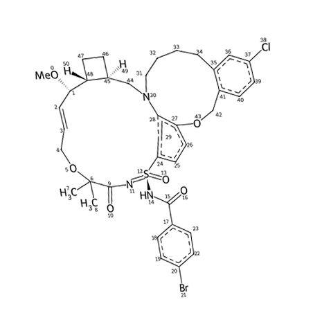 CO[C@H]1/C=C/COC(C)(C)C(=O)N=[S@](=O)(NC(=O)c2ccc(Br)cc2)c2ccc3c(c2)N(CCCCc2cc(Cl)ccc2CO3)C[C@@H]2CC[C@H]21